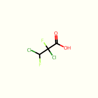 O=C(O)C(F)(Cl)C(F)Cl